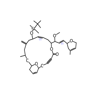 C=C1CC(C)CC2CC=CC(CC#CC(=O)OC(C(/C=C/C3CC(C)=CCO3)OC)C/C=C\C(O[Si](C)(C)C(C)(C)C)C1)O2